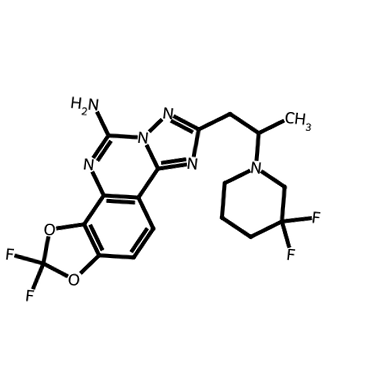 CC(Cc1nc2c3ccc4c(c3nc(N)n2n1)OC(F)(F)O4)N1CCCC(F)(F)C1